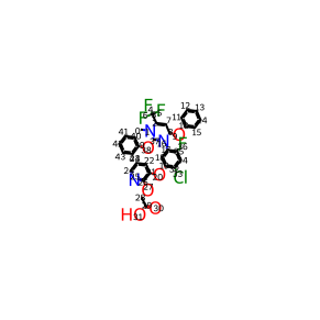 CN1C(C(F)(F)F)=CC(Oc2ccccc2)N(c2cc(Oc3cccnc3OCC(=O)O)c(Cl)cc2F)C1Oc1ccccc1